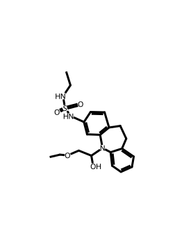 CCNS(=O)(=O)Nc1ccc2c(c1)N(C(O)COCC)c1ccccc1CC2